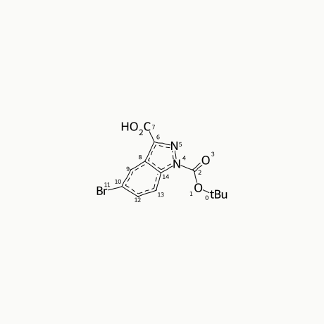 CC(C)(C)OC(=O)n1nc(C(=O)O)c2cc(Br)ccc21